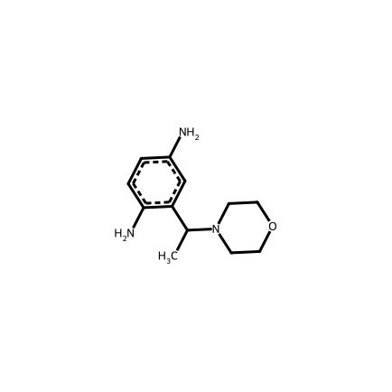 CC(c1cc(N)ccc1N)N1CCOCC1